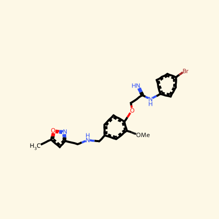 COc1cc(CNCc2cc(C)on2)ccc1OCC(=N)Nc1ccc(Br)cc1